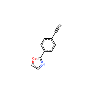 C#Cc1ccc(-c2ncco2)cc1